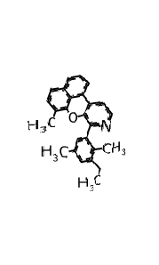 CCc1cc(C)cc(-c2nccc3c2Oc2c(C)ccc4cccc-3c24)c1C